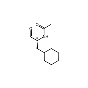 CC(=O)N[C@H](C=O)CC1CCCCC1